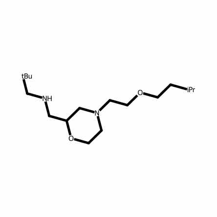 CC(C)CCOCCN1CCOC(CNCC(C)(C)C)C1